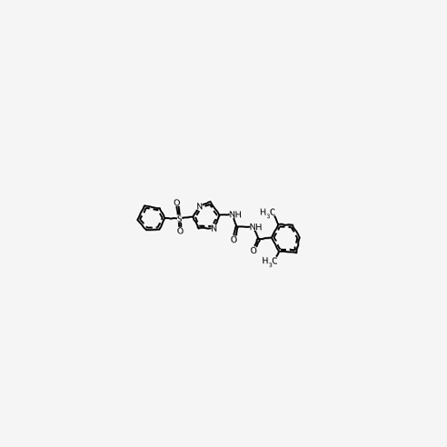 Cc1cccc(C)c1C(=O)NC(=O)Nc1cnc(S(=O)(=O)c2ccccc2)cn1